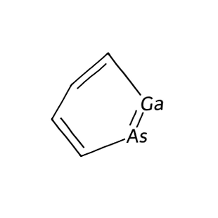 C1=[CH][Ga]=[As]C=C1